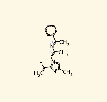 C=C(F)c1nc(C)cn1/C=C(C)/N=C(\C)c1ccccc1